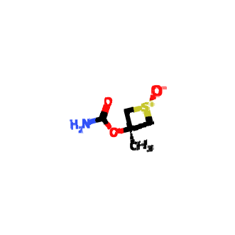 C[C@]1(OC(N)=O)C[S@+]([O-])C1